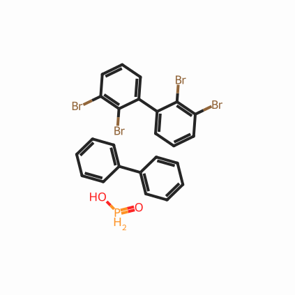 Brc1cccc(-c2cccc(Br)c2Br)c1Br.O=[PH2]O.c1ccc(-c2ccccc2)cc1